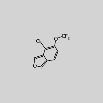 FC(F)(F)Oc1ccc2[c]occ2c1Cl